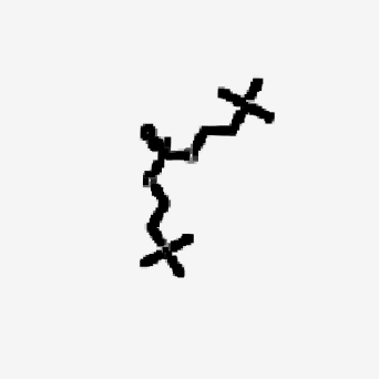 CS(C)(C)CCO[PH](=O)OCCS(C)(C)C